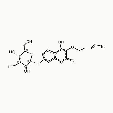 CCC=CCCOc1c(O)c2ccc(O[C@H]3O[C@H](CO)[C@@H](O)[C@H](O)[C@@H]3O)cc2oc1=O